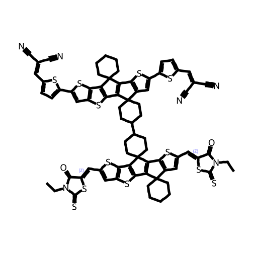 CCN1C(=O)/C(=C/c2cc3c(s2)C2=C(c4sc5cc(/C=C6\SC(=S)N(CC)C6=O)sc5c4C24CCC(C2CCC5(CC2)C2=C(c6sc(-c7ccc(C=C(C#N)C#N)s7)cc65)C5(CCCCC5)c5c2sc2cc(-c6ccc(C=C(C#N)C#N)s6)sc52)CC4)C32CCCCC2)SC1=S